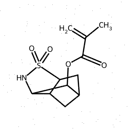 C=C(C)C(=O)OC1C2CC3C1NS(=O)(=O)C3C2